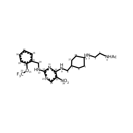 CC(=O)NCCNC1CCC(CNc2nc(NCc3ccccc3OC(F)(F)F)ncc2[N+](=O)[O-])CC1